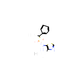 CC(c1ccccc1)S(=O)(=O)Nc1scnc1C(=O)O